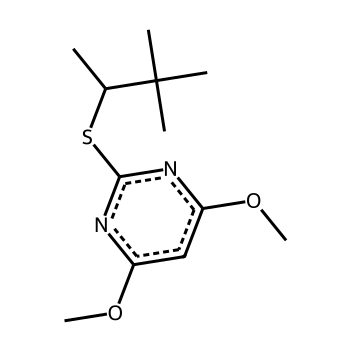 COc1cc(OC)nc(SC(C)C(C)(C)C)n1